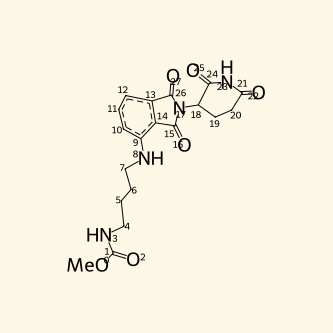 COC(=O)NCCCCNc1cccc2c1C(=O)N(C1CCC(=O)NC1=O)C2=O